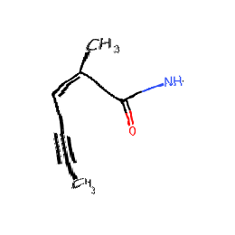 CC#CC=C(C)C([NH])=O